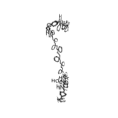 Cc1ncsc1-c1ccc([C@H](C)NC(=O)[C@@H]2C[C@@H](O)CN2C(=O)[C@H](NC(=O)CCC(=O)CCC(=O)CCC(=O)CCC(=O)CCC(=O)CCC(=O)CCNC(=O)c2cc(Oc3ccc(NC(=O)Nc4ccc(Cl)c(C(F)(F)F)c4)cc3)ccn2)C(C)(C)C)cc1